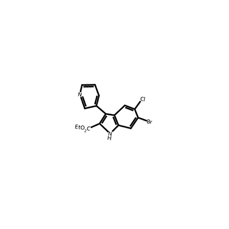 CCOC(=O)c1[nH]c2cc(Br)c(Cl)cc2c1-c1cccnc1